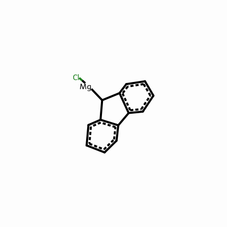 [Cl][Mg][CH]1c2ccccc2-c2ccccc21